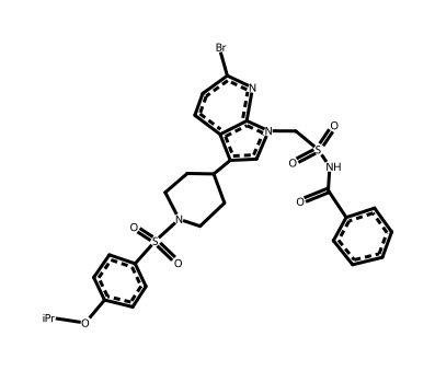 CC(C)Oc1ccc(S(=O)(=O)N2CCC(c3cn(CS(=O)(=O)NC(=O)c4ccccc4)c4nc(Br)ccc34)CC2)cc1